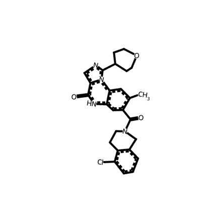 Cc1cc2c(cc1C(=O)N1CCc3c(Cl)cccc3C1)[nH]c(=O)c1cnc(C3CCOCC3)n12